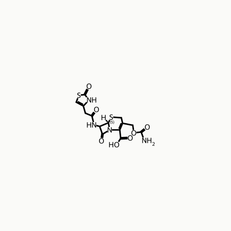 NC(=O)OCC1=C(C(=O)O)N2C(=O)C(NC(=O)Cc3csc(=O)[nH]3)[C@@H]2SC1